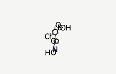 O/N=C/c1ccc(-c2cc3c(cc2Cl)COB3O)o1